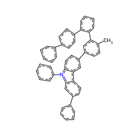 Cc1ccc(-c2ccc3c(c2)c2ccc(-c4ccccc4)cc2n3-c2ccccc2)cc1-c1ccccc1-c1ccc(-c2ccccc2)cc1